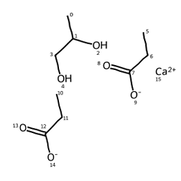 CC(O)CO.CCC(=O)[O-].CCC(=O)[O-].[Ca+2]